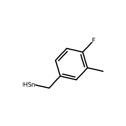 Cc1cc([CH2][SnH])ccc1F